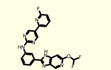 Fc1cccc(-c2cnc(Nc3cccc(-c4nc5cnc(OC(F)F)cc5[nH]4)c3)nc2)n1